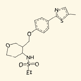 CCS(=O)(=O)NC1CCOCC1COc1ccc(-c2ncc(C)s2)cc1